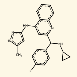 Cc1cc(Nc2cc(C(NC3CC3)c3ccc(F)cc3)nc3ccccc23)n[nH]1